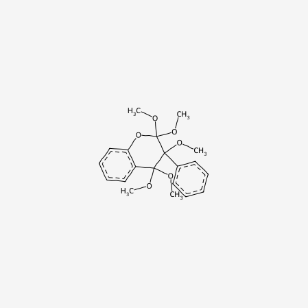 COC1(OC)Oc2ccccc2C(OC)(OC)C1(OC)c1ccccc1